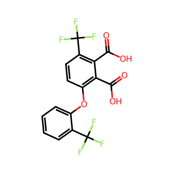 O=C(O)c1c(Oc2ccccc2C(F)(F)F)ccc(C(F)(F)F)c1C(=O)O